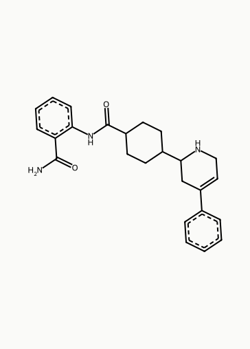 NC(=O)c1ccccc1NC(=O)C1CCC(C2CC(c3ccccc3)=CCN2)CC1